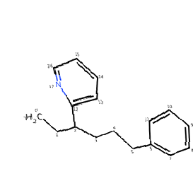 [CH2]CC(CCCc1ccccc1)c1ccccn1